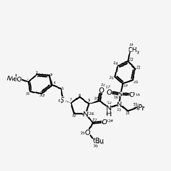 COc1ccc(CS[C@@H]2C[C@@H](C(=O)NN(CC(C)C)S(=O)(=O)c3ccc(C)cc3)N(C(=O)OC(C)(C)C)C2)cc1